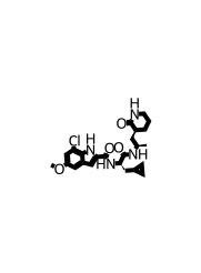 COc1cc(Cl)c2[nH]c(C(=O)N[C@@H](CC3CC3)C(=O)N[C@H](C)C[C@@H]3CCCNC3=O)cc2c1